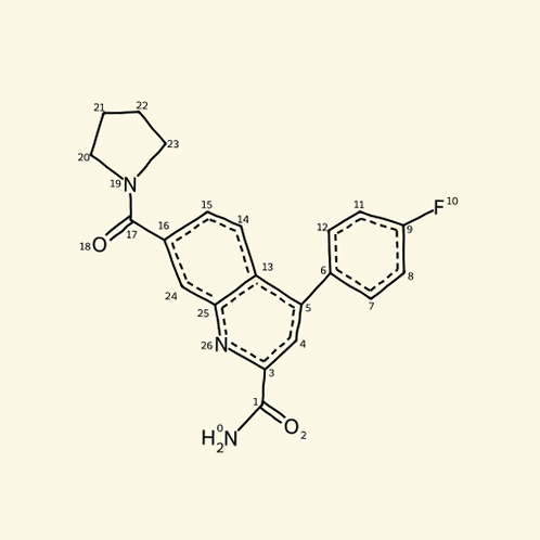 NC(=O)c1cc(-c2ccc(F)cc2)c2ccc(C(=O)N3CCCC3)cc2n1